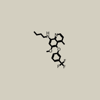 CCCCNc1cc(OC)c(Oc2cccc(C(F)(F)F)c2)c2c(C)ccnc12